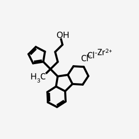 CC(CCCO)(C1=CC=CC1)C1C2C=CC=CC2C2CCCCC21.[Cl-].[Cl-].[Zr+2]